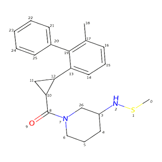 CSNC1CCCN(C(=O)C2CC2c2cccc(C)c2-c2ccccc2)C1